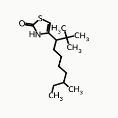 CCC(C)CCCCC(c1csc(=O)[nH]1)C(C)(C)C